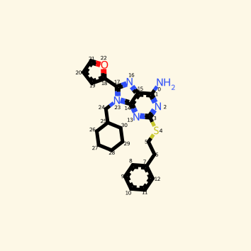 Nc1nc(SCCc2ccccc2)nc2c1nc(-c1ccco1)n2CC1CCCCC1